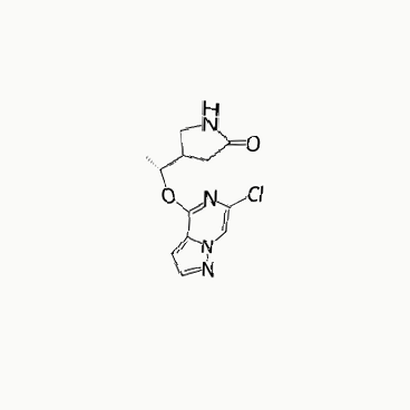 C[C@@H](Oc1nc(Cl)cn2nccc12)C1CNC(=O)C1